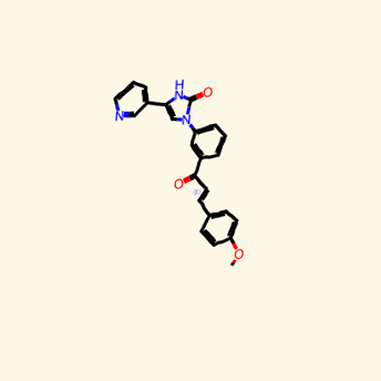 COc1ccc(/C=C/C(=O)c2cccc(-n3cc(-c4cccnc4)[nH]c3=O)c2)cc1